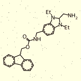 CCN1c2ccc(CNC(=O)OCC3c4ccccc4-c4ccccc43)cc2N(CC)C1CN